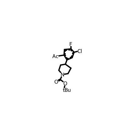 CC(=O)c1cc(F)c(Cl)cc1C1CCN(C(=O)OC(C)(C)C)CC1